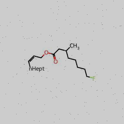 CCCCCCC/C=C\COC(=O)CC(C)CCCCCF